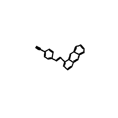 C#Cc1ccc(C=Cc2cccc3cc4ccccc4cc23)cc1